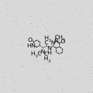 CC(Nc1nn(C)c(=O)c2ccccc12)C(c1ccc(=O)[nH]c1)N(C)C